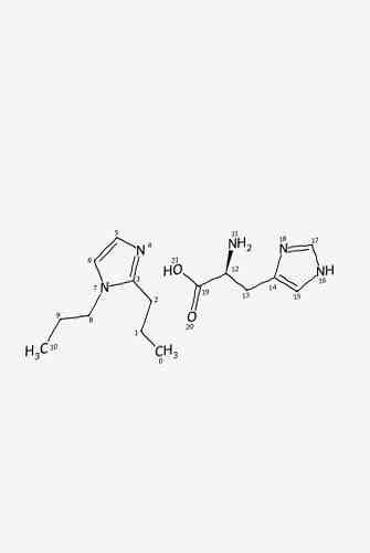 CCCc1nccn1CCC.N[C@@H](Cc1c[nH]cn1)C(=O)O